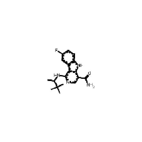 CC(Nc1ncc(C(N)=O)c2[nH]c3ccc(F)cc3c12)C(C)(C)C